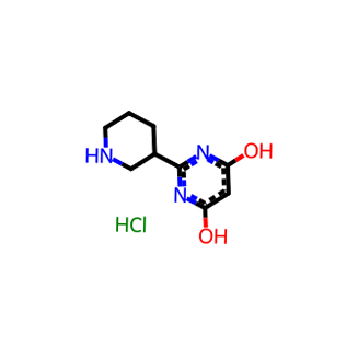 Cl.Oc1cc(O)nc(C2CCCNC2)n1